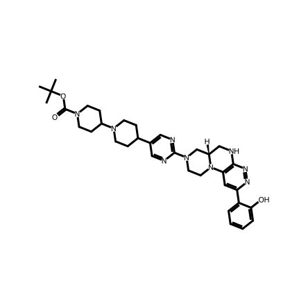 CC(C)(C)OC(=O)N1CCC(N2CCC(c3cnc(N4CCN5c6cc(-c7ccccc7O)nnc6NC[C@H]5C4)nc3)CC2)CC1